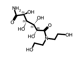 NC(=O)[C@@H](O)[C@@H](O)[C@H](O)[C@@H](O)C(=O)N(CCO)CCO